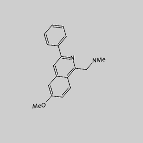 CNCc1nc(-c2ccccc2)cc2cc(OC)ccc12